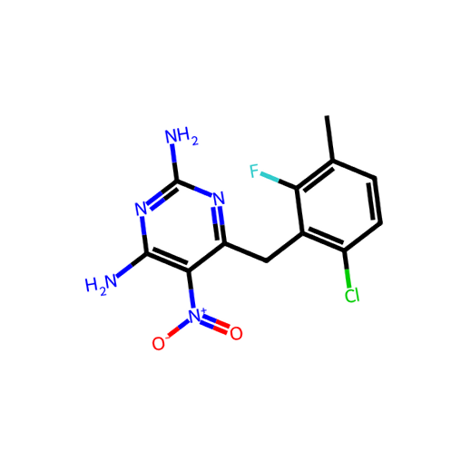 Cc1ccc(Cl)c(Cc2nc(N)nc(N)c2[N+](=O)[O-])c1F